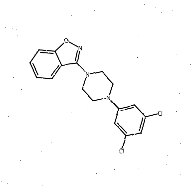 Clc1cc(Cl)cc(N2CCN(c3noc4ccccc34)CC2)c1